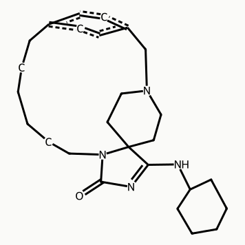 O=C1N=C(NC2CCCCC2)C23CCN(CC2)Cc2ccc(cc2)CCCCCCN13